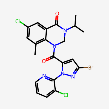 Cc1cc(Cl)cc2c1N(C(=O)c1cc(Br)nn1-c1ncccc1Cl)CN(C(C)C)C2=O